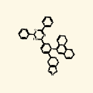 C1=Cc2cc(C3CC(C4N=C(c5ccccc5)NC(c5ccccc5)N4)=CC=C3C3CCC4=C(C=NC4)C3)c3c(c2CC1)CCC=C3